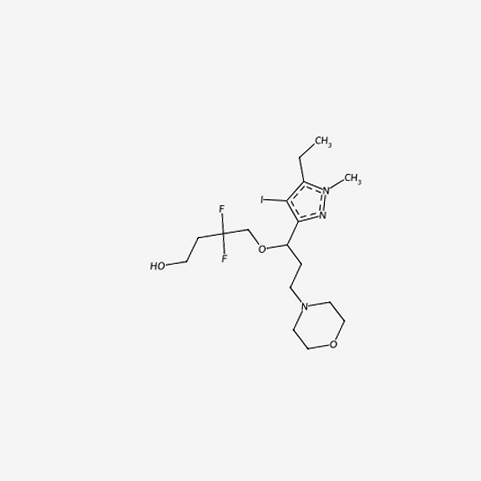 CCc1c(I)c(C(CCN2CCOCC2)OCC(F)(F)CCO)nn1C